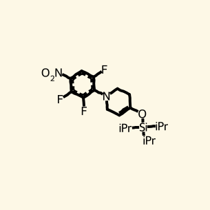 CC(C)[Si](OC1=CCN(c2c(F)cc([N+](=O)[O-])c(F)c2F)CC1)(C(C)C)C(C)C